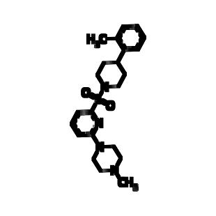 Cc1ccccc1C1CCN(S(=O)(=O)c2cccc(N3CCN(C)CC3)n2)CC1